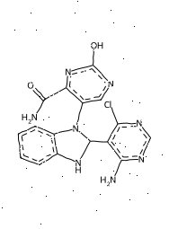 NC(=O)c1nc(O)ncc1N1c2ccccc2NC1c1c(N)ncnc1Cl